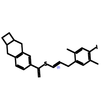 C=C(S/C=C/Cc1cc(C)c(I)cc1C)c1ccc2c(c1)CC1CCC1C2